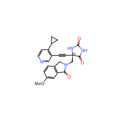 COc1ccc2c(c1)C(=O)N(C[C@@]1(C#Cc3cnccc3C3CC3)NC(=O)NC1=O)C2